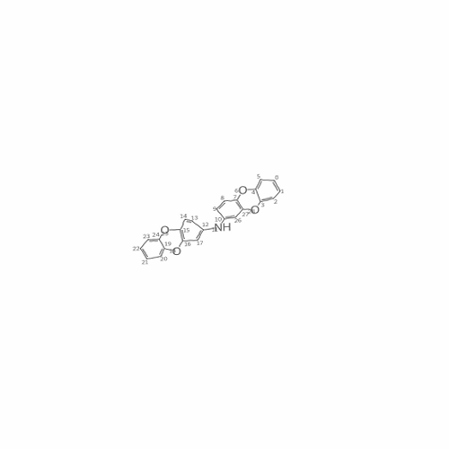 c1ccc2c(c1)Oc1ccc(Nc3ccc4c(c3)Oc3ccccc3O4)cc1O2